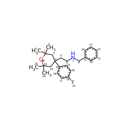 CC1(C)CC(CCNCc2ccccc2)(c2ccc(F)cc2)CC(C)(C)O1